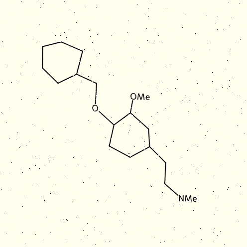 CNCCC1CCC(OCC2CCCCC2)C(OC)C1